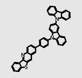 c1ccc2c(c1)sc1cc3cc(-c4ccc(-n5c6ccccc6c6cc(-n7c8ccccc8c8ccccc87)ccc65)cc4)ccc3nc12